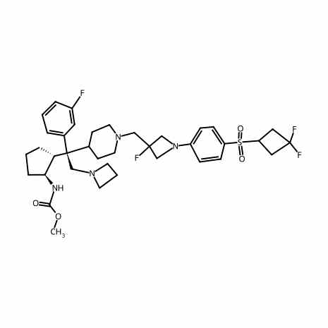 COC(=O)N[C@H]1CCC[C@@H]1[C@](CN1CCC1)(c1cccc(F)c1)C1CCN(CC2(F)CN(c3ccc(S(=O)(=O)C4CC(F)(F)C4)cc3)C2)CC1